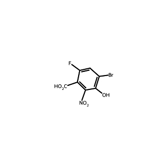 O=C(O)c1c(F)cc(Br)c(O)c1[N+](=O)[O-]